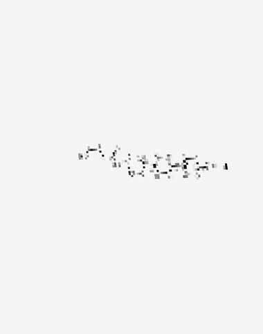 CC/C=C\CC(=O)O[C@H]1CO[C@H](c2ccc(C34CCC(CCCCC)(CC3)CC4)cc2)CO1